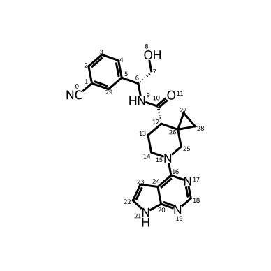 N#Cc1cccc([C@H](CO)NC(=O)[C@H]2CCN(c3ncnc4[nH]ccc34)CC23CC3)c1